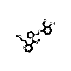 C=S=C(c1cccnc1CCOC)N1CCC[C@H]1COc1cccc(O)c1C=O